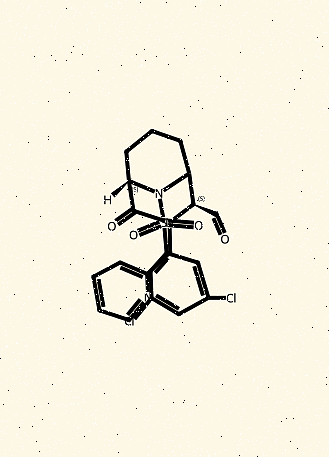 O=C[C@@H]1C2CCC[C@@H](C(=O)N1Cc1ccccn1)N2S(=O)(=O)c1cc(Cl)cc(Cl)c1